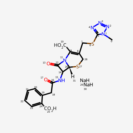 Cn1nnnc1SCC1=C(C(=O)O)N2C(=O)C(NC(=O)Cc3ccccc3C(=O)O)[C@H]2SC1.[NaH].[NaH]